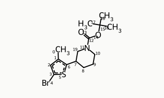 Cc1cc(Br)sc1C1CCCN(C(=O)OC(C)(C)C)C1